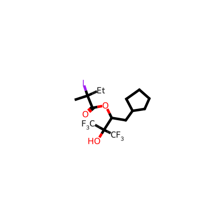 CCC(C)(I)C(=O)OC(CC1CCCC1)C(O)(C(F)(F)F)C(F)(F)F